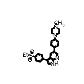 CCS(=O)(=O)c1ccc(-c2c[nH]c3ncc(-c4ccc(N5CCN(C)CC5)cc4)cc23)cc1